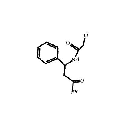 CCCC(=O)CC(NC(=O)CCl)c1ccccc1